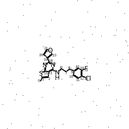 Cc1cc2c(NCCCc3ccc(Cl)c(F)c3)nc(-c3ccoc3)nc2s1